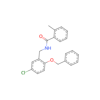 Cc1ccccc1C(=O)NCc1cc(Cl)ccc1OCc1ccccc1